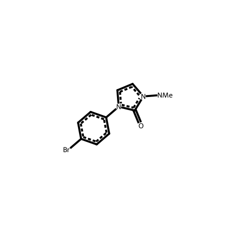 CNn1ccn(-c2ccc(Br)cc2)c1=O